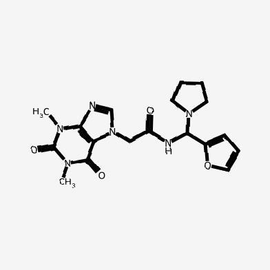 Cn1c(=O)c2c(ncn2CC(=O)NC(c2ccco2)N2CCCC2)n(C)c1=O